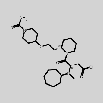 CN(C1CCCCCC1)[C@@H](CC(=O)O)C(=O)N1CCCC[C@H]1CCOC1CCN(C(=N)N)CC1